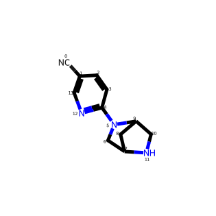 N#Cc1ccc(N2CC3CC2CN3)nc1